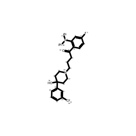 CC(C)N(c1cc(F)ccc1C(=O)CCCN1CCC(O)(c2cccc(C(F)(F)F)c2)CC1)C(C)C